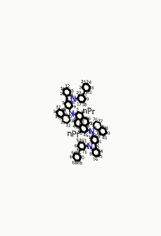 CCCc1cc(N(c2ccc3c4ccccc4n(-c4cccc(-c5ccccc5)c4)c3c2)C2CCCc3ccccc32)c2ccc3c(CCC)cc(N(c4ccc5c6ccccc6n(-c6cccc(-c7ccccc7)c6)c5c4)C4CCCc5ccccc54)c4ccc1c2c34